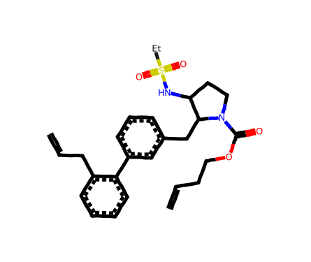 C=CCCOC(=O)N1CCC(NS(=O)(=O)CC)C1Cc1cccc(-c2ccccc2CC=C)c1